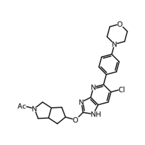 CC(=O)N1CC2CC(Oc3nc4nc(-c5ccc(N6CCOCC6)cc5)c(Cl)cc4[nH]3)CC2C1